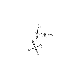 N.N.N.N#CS.O=S(O)(O)=S